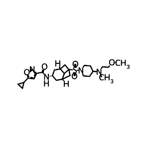 COCCN(C)C1CCN(S(=O)(=O)C23C[C@H]4C[C@@H](NC(=O)c5cc(C6CC6)on5)C[C@@H](C2)C43)CC1